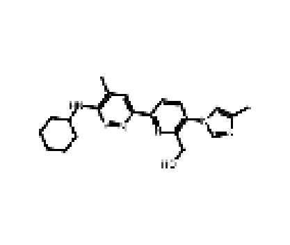 Cc1cn(-c2ccc(-c3cc(C)c(NC4CCCCC4)nn3)nc2CO)cn1